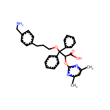 Cc1cc(C)nc(OC(C(=O)O)C(OCCCc2ccc(CN)cc2)(c2ccccc2)c2ccccc2)n1